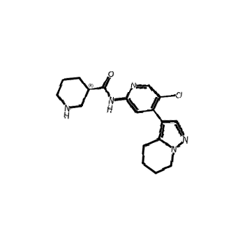 O=C(Nc1cc(-c2cnn3c2CCCC3)c(Cl)cn1)[C@@H]1CCCNC1